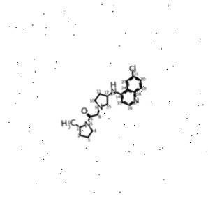 C[C@@H]1CCCN1C(=O)CN1CC[C@@H](Nc2ccnc3ccc(Cl)cc23)C1